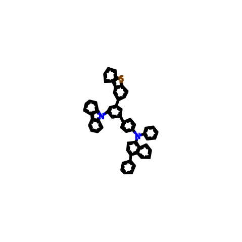 c1ccc(-c2ccc(N(c3ccccc3)c3ccc(-c4cc(-c5ccc6sc7ccccc7c6c5)cc(-n5c6ccccc6c6ccccc65)c4)cc3)c3ccccc23)cc1